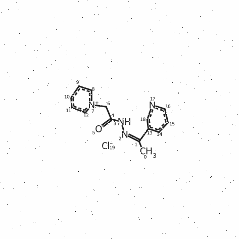 CC(=NNC(=O)C[n+]1ccccc1)c1cccnc1.[Cl-]